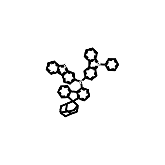 c1ccc(-n2c3ccccc3c3cc(N(c4ccc5c(c4)sc4ccccc45)c4cccc5c4-c4ccccc4C54C5CC6CC(C5)CC4C6)ccc32)cc1